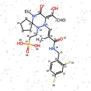 CCN1C(=O)/C(=C(\O)C=O)N(/C=C(\C)C(=O)NCc2ccc(F)cc2F)N(CCP(=O)(O)O)C12CCCC2